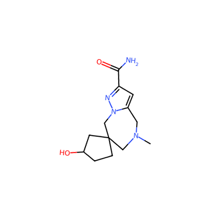 CN1Cc2cc(C(N)=O)nn2CC2(CCC(O)C2)C1